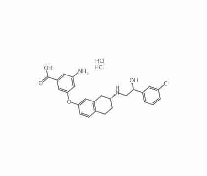 Cl.Cl.Nc1cc(Oc2ccc3c(c2)C[C@@H](NC[C@@H](O)c2cccc(Cl)c2)CC3)cc(C(=O)O)c1